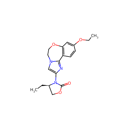 CCOc1ccc2c(c1)OCCn1cc(N3C(=O)OC[C@H]3CC)nc1-2